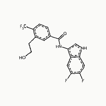 O=C(Nc1c[nH]c2cc(F)c(F)cc12)c1ccc(C(F)(F)F)c(CCO)c1